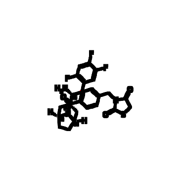 N[C@H](Cc1cc(F)c(F)cc1F)[C@@H]1C[C@H]2CC[C@@H](C1)N2C(=O)c1ccc(CN2C(=O)CSC2=O)cc1